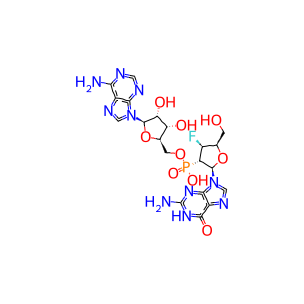 Nc1nc2c(ncn2[C@@H]2O[C@H](CO)[C@H](F)[C@H]2P(=O)(O)OC[C@H]2O[C@@H](n3cnc4c(N)ncnc43)[C@H](O)[C@@H]2O)c(=O)[nH]1